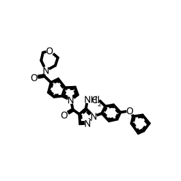 Nc1c(C(=O)n2ccc3cc(C(=O)N4CCOCC4)ccc32)cnn1-c1ccc(Oc2ccccc2)cc1Cl